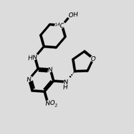 O=[N+]([O-])c1cnc(NC2CC[14CH](O)CC2)nc1N[C@@H]1CCOC1